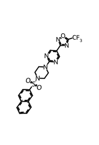 O=S(=O)(c1ccc2ccccc2c1)N1CCN(c2ncc(-c3noc(C(F)(F)F)n3)cn2)CC1